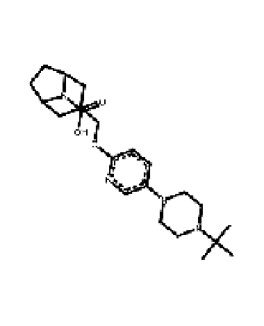 CC(C)(C)N1CCN(c2ccc(OCC3CC4CCC(C3)N4C(=O)O)nc2)CC1